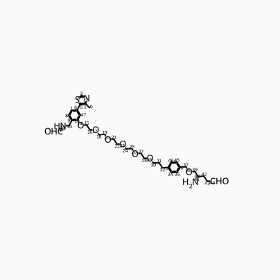 Cc1ncsc1-c1ccc(CNC=O)c(OCCOCCOCCOCCOCCOCCCc2ccc(COC[C@@H](N)CCC=O)cc2)c1